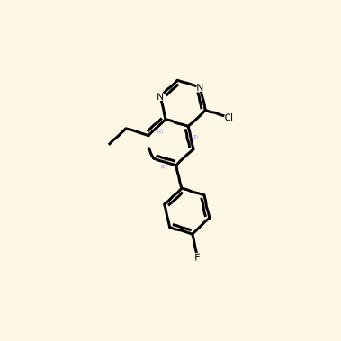 C\C=C(/C=c1/c(Cl)ncn/c1=C\CC)c1ccc(F)cc1